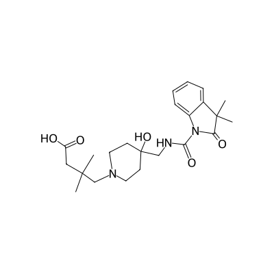 CC(C)(CC(=O)O)CN1CCC(O)(CNC(=O)N2C(=O)C(C)(C)c3ccccc32)CC1